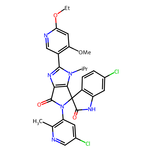 CCOc1cc(OC)c(-c2nc3c(n2C(C)C)C2(C(=O)Nc4cc(Cl)ccc42)N(c2cc(Cl)cnc2C)C3=O)cn1